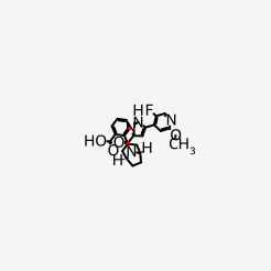 COc1cc(-c2cc(C(=O)N3[C@@H]4CC[C@H]3CC(c3ccccc3C(=O)O)C4)n[nH]2)c(F)cn1